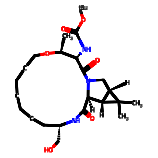 C[C@@H]1OCCCCCCC[C@@H](CO)NC(=O)[C@@H]2[C@@H]3[C@H](CN2C(=O)[C@H]1NC(=O)OC(C)(C)C)C3(C)C